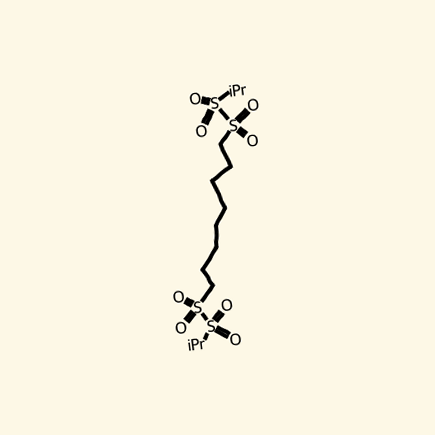 CC(C)S(=O)(=O)S(=O)(=O)CCCCCCCCS(=O)(=O)S(=O)(=O)C(C)C